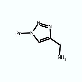 CC(C)n1cc(CN)nn1